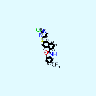 O=C(Nc1cccc(C(F)(F)F)c1)c1cccc2cc(Sc3ccnc(Cl)n3)ccc12